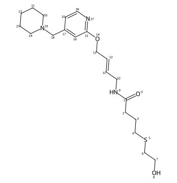 O=C(CCCSCCO)NCC=CCOc1cc(CN2CCCCC2)ccn1